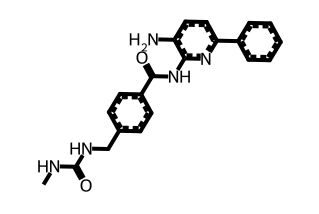 CNC(=O)NCc1ccc(C(=O)Nc2nc(-c3ccccc3)ccc2N)cc1